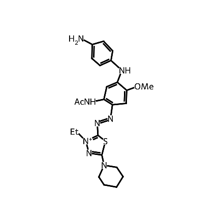 CC[n+]1nc(N2CCCCC2)sc1N=Nc1cc(OC)c(Nc2ccc(N)cc2)cc1NC(C)=O